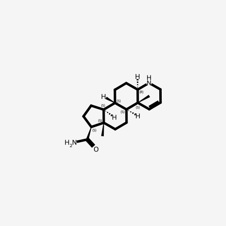 C[C@]12C=CCN[C@@H]1CC[C@@H]1[C@@H]2CC[C@]2(C)[C@@H](C(N)=O)CC[C@@H]12